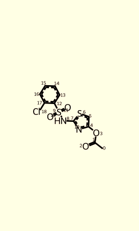 CC(=O)Oc1csc(NS(=O)(=O)c2ccccc2Cl)n1